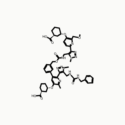 COCc1nc(-c2nnn(C)c2CNC(=O)OCc2cccc(-c3cc(O[C@H]4CCC[C@H](C(=O)O)C4)c(C)nc3-c3nnn(C)c3CNC(=O)NCc3ccccc3)c2)ccc1O[C@H]1CCC[C@H](C(=O)O)C1